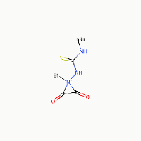 CCCCNC(=S)N[N+]1(CC)C(=O)C1=O